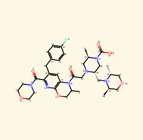 CC1COc2nc(C(=O)N3CCOCC3)c(Cc3ccc(F)cc3)cc2N1C(=O)CN1C[C@@H](C)N(C(=O)O)C[C@@H]1CN1[C@H](C)COC[C@H]1C